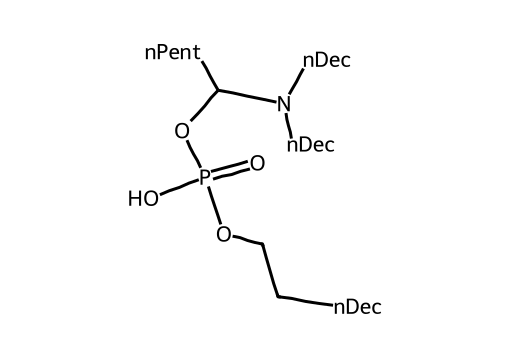 CCCCCCCCCCCCOP(=O)(O)OC(CCCCC)N(CCCCCCCCCC)CCCCCCCCCC